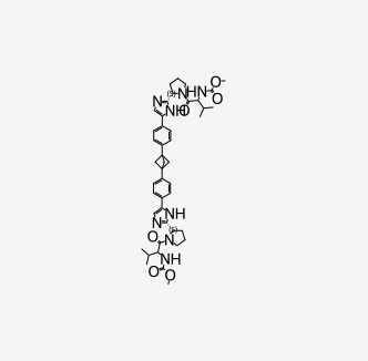 COC(=O)NC(C(=O)N1CCC[C@H]1c1ncc(-c2ccc(C34CC(c5ccc(-c6cnc([C@@H]7CCCN7C(=O)C(NC(=O)OC)C(C)C)[nH]6)cc5)(C3)C4)cc2)[nH]1)C(C)C